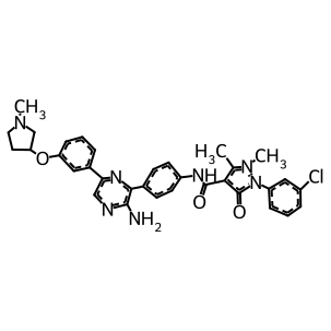 Cc1c(C(=O)Nc2ccc(-c3nc(-c4cccc(OC5CCN(C)C5)c4)cnc3N)cc2)c(=O)n(-c2cccc(Cl)c2)n1C